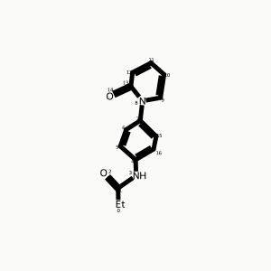 CCC(=O)Nc1ccc(-n2ccccc2=O)cc1